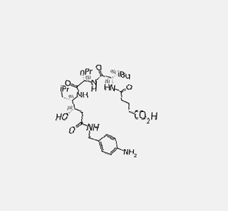 CCC[C@H](NC(=O)[C@@H](NC(=O)CCCC(=O)O)[C@@H](C)CC)C(=O)N[C@@H](CC(C)C)[C@@H](O)CC(=O)NCc1ccc(N)cc1